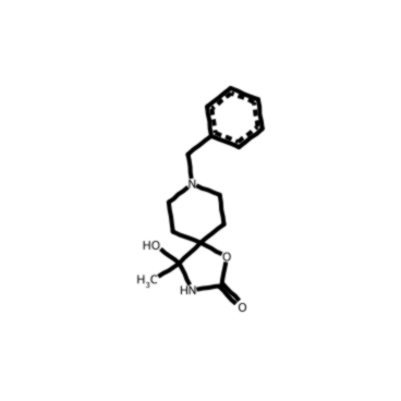 CC1(O)NC(=O)OC12CCN(Cc1ccccc1)CC2